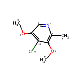 COc1cnc(C)c(OC)c1Cl